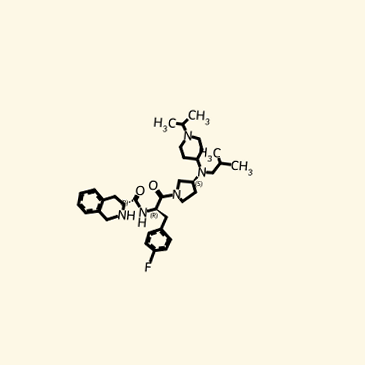 CC(C)CN(C1CCN(C(C)C)CC1)[C@H]1CCN(C(=O)[C@@H](Cc2ccc(F)cc2)NC(=O)[C@H]2Cc3ccccc3CN2)C1